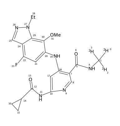 [2H]C([2H])([2H])NC(=O)c1cnc(NC(=O)C2CC2)cc1Nc1cc(F)c2cnn(CC)c2c1OC